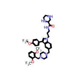 O=C(NCCCn1cc(-c2ccc(OC(F)(F)F)cc2)c2cc(CN3CCN(Cc4c(OC(F)(F)F)cccc4OC(F)(F)F)CC3)ccc21)C1CNCCN1